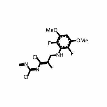 C=N/C(Cl)=N\C(Cl)=C(/C)CNc1c(F)c(OC)cc(OC)c1F